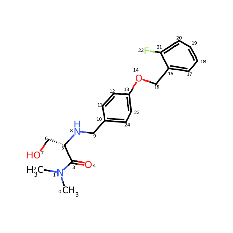 CN(C)C(=O)[C@H](CO)NCc1ccc(OCc2ccccc2F)cc1